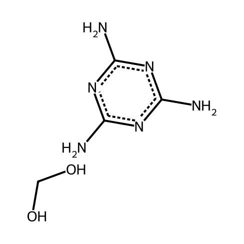 Nc1nc(N)nc(N)n1.OCO